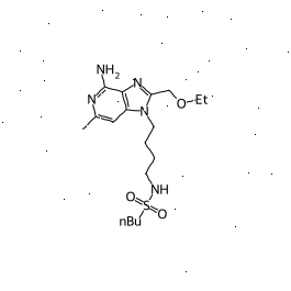 CCCCS(=O)(=O)NCCCCn1c(COCC)nc2c(N)nc(C)cc21